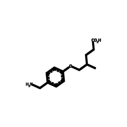 CC(CCC(=O)O)COc1ccc(CN)cc1